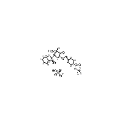 CC[n+]1c(-c2cc(/N=N/c3ccc(C(=O)C[N+](C)(C)C)cc3)c(=O)n(C)c2O)sc2ccccc21.COS(=O)(=O)O